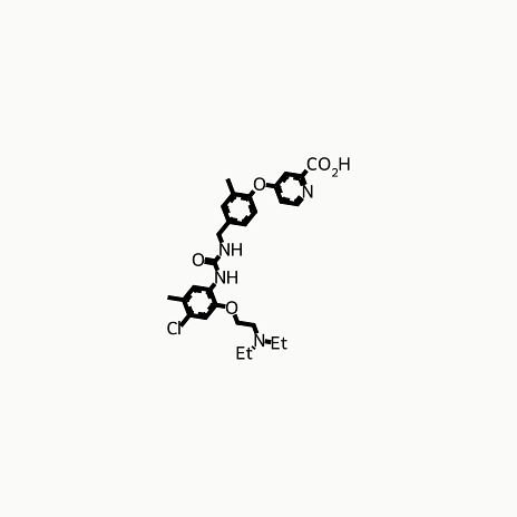 CCN(CC)CCOc1cc(Cl)c(C)cc1NC(=O)NCc1ccc(Oc2ccnc(C(=O)O)c2)c(C)c1